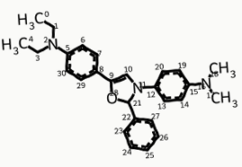 CCN(CC)c1ccc(C2=CN(c3ccc(N(C)C)cc3)C(c3ccccc3)O2)cc1